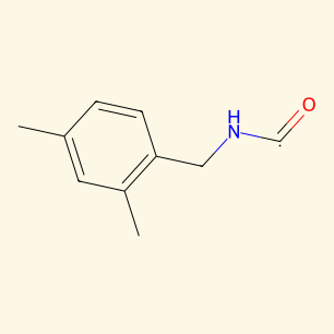 Cc1ccc(CN[C]=O)c(C)c1